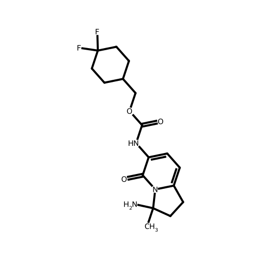 CC1(N)CCc2ccc(NC(=O)OCC3CCC(F)(F)CC3)c(=O)n21